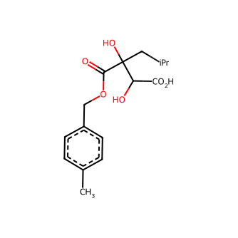 Cc1ccc(COC(=O)C(O)(CC(C)C)C(O)C(=O)O)cc1